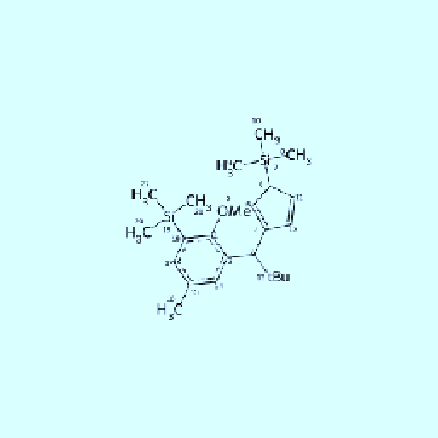 COc1c(C(C2=CC([Si](C)(C)C)C=C2)C(C)(C)C)cc(C)cc1[Si](C)(C)C